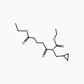 CCOC(=O)CCCC(=O)N(CC1CC1)C(=O)OCC